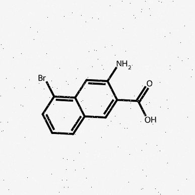 Nc1cc2c(Br)cccc2cc1C(=O)O